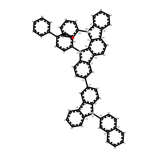 c1ccc(-c2ccc(-n3c4ccc(-c5ccc6c(c5)c5ccccc5n6-c5ccc6ccccc6c5)cc4c4ccc5c6ccccc6n(-c6ccccc6)c5c43)cc2)cc1